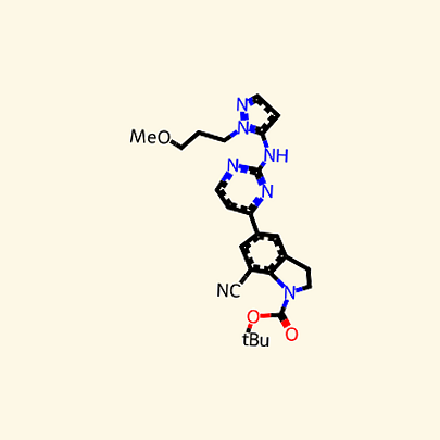 COCCCn1nccc1Nc1nccc(-c2cc(C#N)c3c(c2)CCN3C(=O)OC(C)(C)C)n1